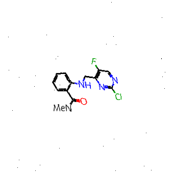 CNC(=O)c1ccccc1NCc1nc(Cl)ncc1F